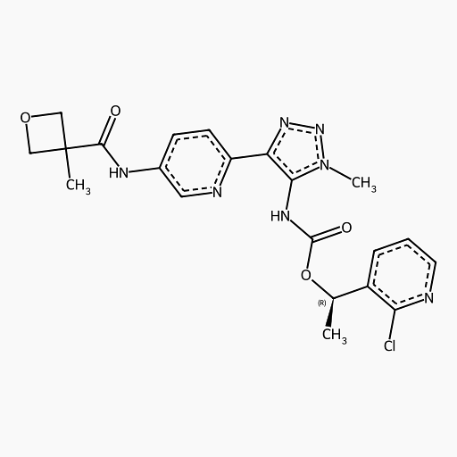 C[C@@H](OC(=O)Nc1c(-c2ccc(NC(=O)C3(C)COC3)cn2)nnn1C)c1cccnc1Cl